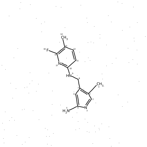 Cc1cnc(N)cc1CNc1ccc(C)c(F)n1